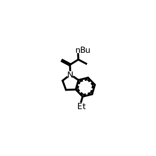 C=C(C(C)CCCC)N1CCc2c(CC)cccc21